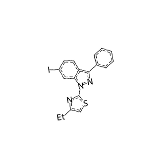 CCc1csc(-n2nc(-c3ccccc3)c3ccc(I)cc32)n1